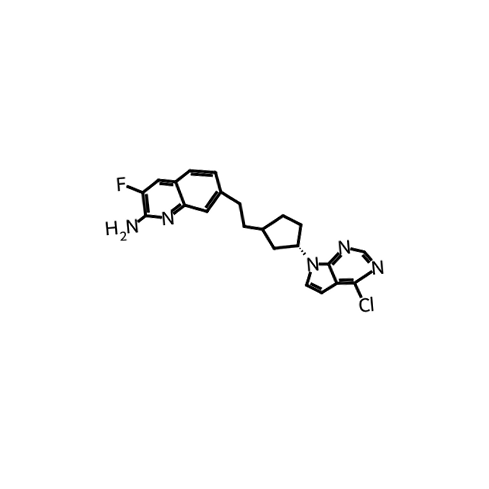 Nc1nc2cc(CCC3CC[C@H](n4ccc5c(Cl)ncnc54)C3)ccc2cc1F